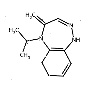 C=C1C=NNC2=C(CCC=C2)N1C(C)C